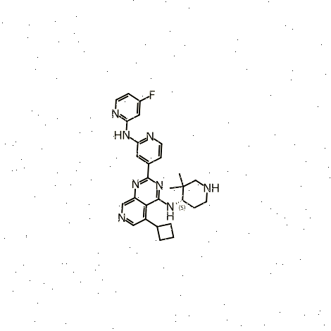 CC1(C)CNCC[C@@H]1Nc1nc(-c2ccnc(Nc3cc(F)ccn3)c2)nc2cncc(C3CCC3)c12